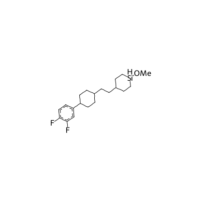 CO[SiH]1CCC(CCC2CCC(c3ccc(F)c(F)c3)CC2)CC1